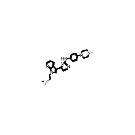 CCCn1cc(-c2ccnc(Nc3ccc(N4CCNCC4)cc3)n2)c2cccnc21